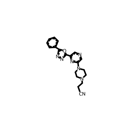 N#CCCN1CCN(c2cncc(-c3nnc(-c4ccccc4)o3)n2)CC1